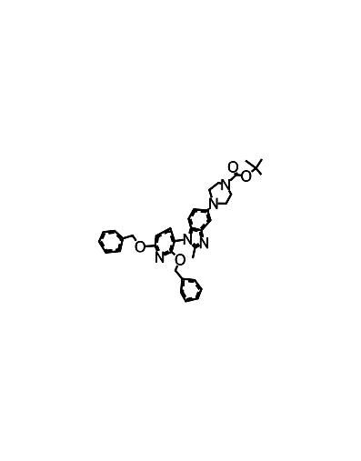 Cc1nc2cc(N3CCN(C(=O)OC(C)(C)C)CC3)ccc2n1-c1ccc(OCc2ccccc2)nc1OCc1ccccc1